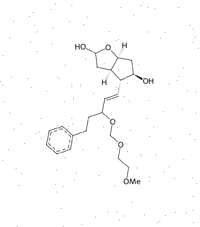 COCCOCOC(C=C[C@@H]1[C@H]2CC(O)O[C@H]2C[C@H]1O)CCc1ccccc1